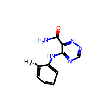 Cc1ccccc1Nc1ncnnc1C(N)=O